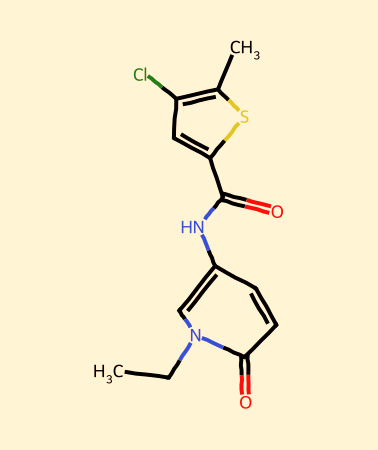 CCn1cc(NC(=O)c2cc(Cl)c(C)s2)ccc1=O